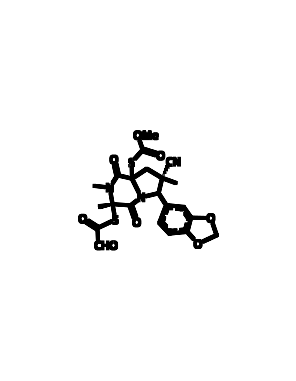 COC(=O)SC12C[C@](C)(C#N)C(c3ccc4c(c3)OCO4)N1C(=O)[C@](C)(SC(=O)C=O)N(C)C2=O